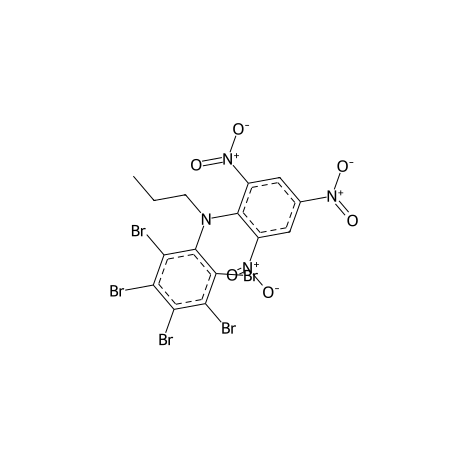 CCCN(c1c([N+](=O)[O-])cc([N+](=O)[O-])cc1[N+](=O)[O-])c1c(Br)c(Br)c(Br)c(Br)c1Br